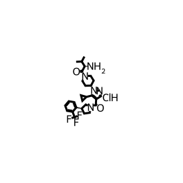 CC(C)[C@H](N)C(=O)N1CCC(n2ncc(C(=O)N3CC[C@@H](c4ccccc4C(F)(F)F)C3)c2C2CC2)CC1.Cl